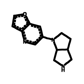 c1cc2ncc(N3CCC4CNCC43)cc2o1